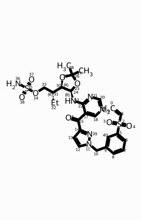 C=CS(=O)(=O)c1cccc(Cn2ccc(C(=O)c3cncnc3N[C@@H]3OC(C)(C)O[C@@H]3[C@H](CC)COS(N)(=O)=O)n2)c1